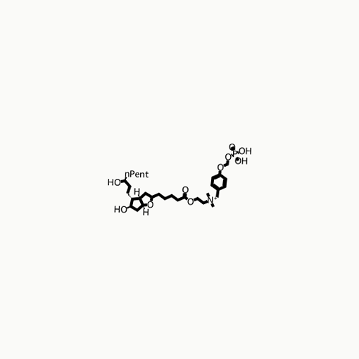 CCCCC[C@H](O)CC[C@@H]1[C@H]2CC(CCCCC(=O)OCC[N+](C)(C)Cc3ccc(OCOP(=O)(O)O)cc3)O[C@H]2C[C@H]1O